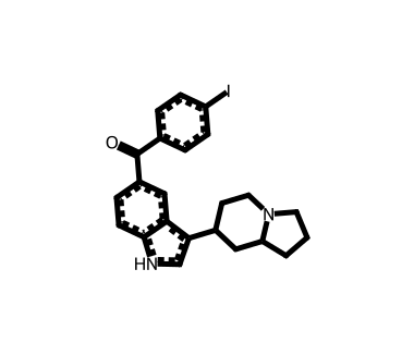 O=C(c1ccc(I)cc1)c1ccc2[nH]cc(C3CCN4CCCC4C3)c2c1